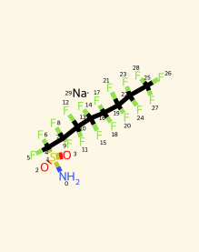 NS(=O)(=O)C(F)(F)C(F)(F)C(F)(F)C(F)(F)C(F)(F)C(F)(F)C(F)(F)C(F)(F)F.[Na]